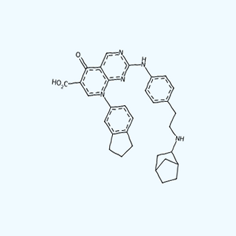 O=C(O)c1cn(-c2ccc3c(c2)CCC3)c2nc(Nc3ccc(CCNC4CC5CCC4C5)cc3)ncc2c1=O